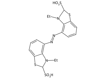 CCN1c2c(N=Nc3cccc4c3N(CC)C(S(=O)(=O)O)S4)cccc2SC1S(=O)(=O)O